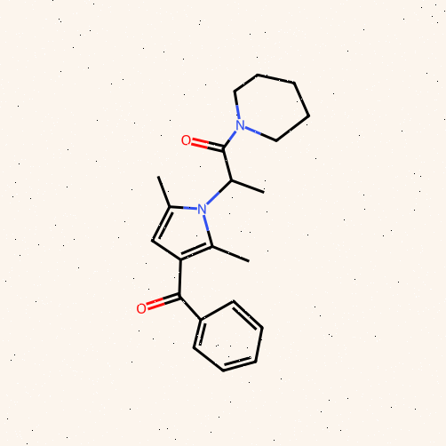 Cc1cc(C(=O)c2ccccc2)c(C)n1C(C)C(=O)N1CCCCC1